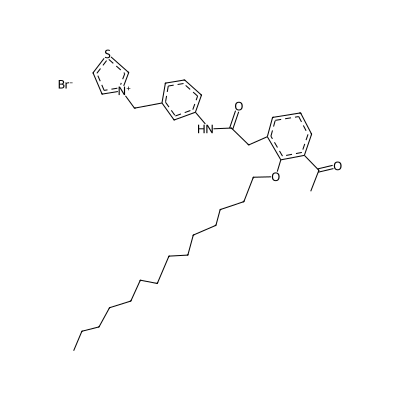 CCCCCCCCCCCCCCOc1c(CC(=O)Nc2cccc(C[n+]3ccsc3)c2)cccc1C(C)=O.[Br-]